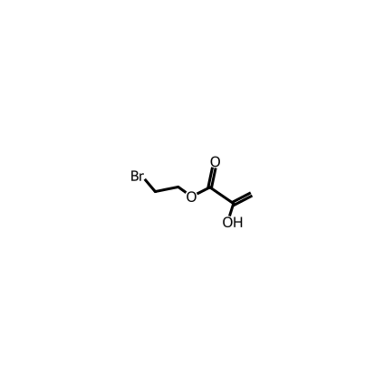 C=C(O)C(=O)OCCBr